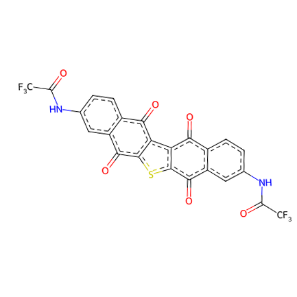 O=C(Nc1ccc2c(=O)c3c(sc4c(=O)c5cc(NC(=O)C(F)(F)F)ccc5c(=O)c43)c(=O)c2c1)C(F)(F)F